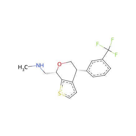 CNC[C@@H]1OC[C@H](c2cccc(C(F)(F)F)c2)c2ccsc21